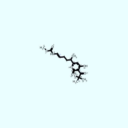 COC(=O)N/C=C/CCC(C)c1cc(O)c(C(=O)C(C)(C)C)c(=O)o1